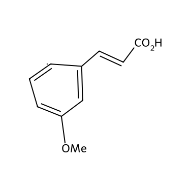 COc1cc[c]c(C=CC(=O)O)c1